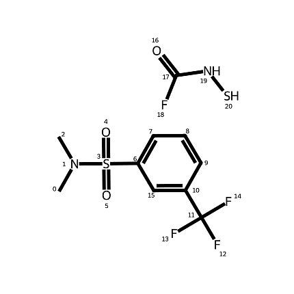 CN(C)S(=O)(=O)c1cccc(C(F)(F)F)c1.O=C(F)NS